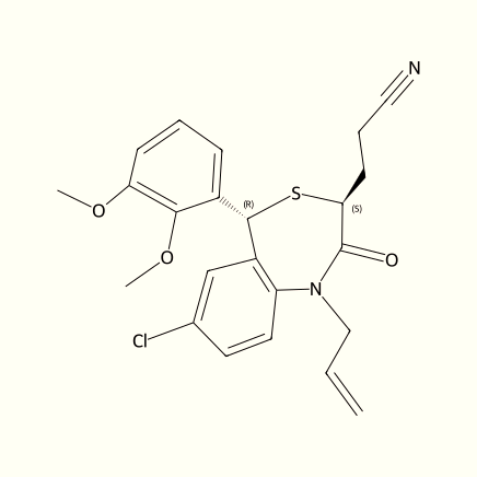 C=CCN1C(=O)[C@H](CCC#N)S[C@@H](c2cccc(OC)c2OC)c2cc(Cl)ccc21